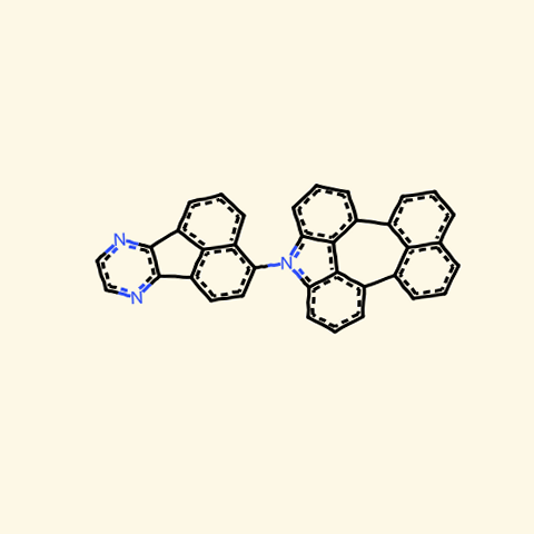 c1cc2c3c(cccc3c1)-c1cccc3c1c1c-2cccc1n3-c1ccc2c3c(cccc13)-c1nccnc1-2